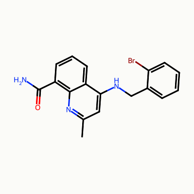 Cc1cc(NCc2ccccc2Br)c2cccc(C(N)=O)c2n1